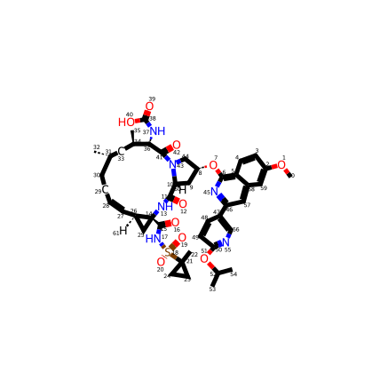 COc1ccc2c(O[C@@H]3C[C@H]4C(=O)N[C@]5(C(=O)NS(=O)(=O)C6(C)CC6)C[C@H]5/C=C\CC[C@H](C)C[C@@H](C)[C@H](NC(=O)O)C(=O)N4C3)nc(-c3ccc(OC(C)C)nc3)cc2c1